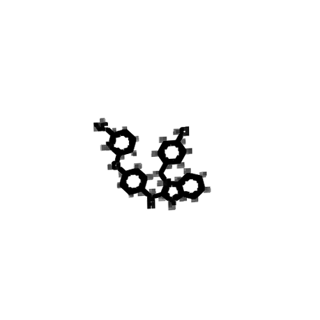 N#Cc1cccc(Oc2ccc(Nc3nc4ccccc4n3Cc3ccc(Cl)cc3)cc2)n1